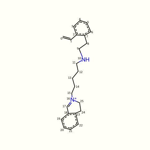 C=Cc1ccccc1CCNCCCCC[N+]1=Cc2ccccc2CC1